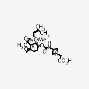 CO[C@@H]1[C@H](OC(=O)NC2CN(CC(=O)O)C2)CC[C@]2(CO2)[C@H]1[C@@]1(C)O[C@@H]1CC=C(C)C